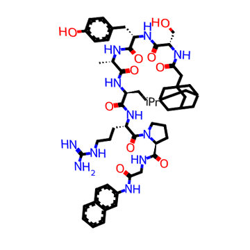 CC(C)C[C@H](NC(=O)[C@H](C)NC(=O)[C@H](Cc1ccc(O)cc1)NC(=O)[C@H](CO)NC(=O)CC12CC3CC(CC(C3)C1)C2)C(=O)N[C@@H](CCCNC(=N)N)C(=O)N1CCC[C@H]1C(=O)NCC(=O)Nc1ccc2ccccc2c1